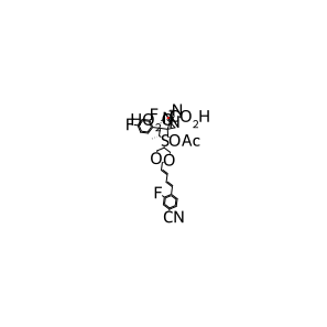 CC(=O)OCC1([C@](Cn2cncn2)(c2ccc(F)cc2F)[C@@H](C)SC2COC(C=CC=Cc3ccc(C#N)cc3F)OC2)CC1(C(=O)O)C(=O)O